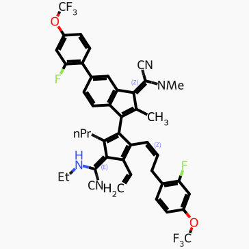 C=CC1=C(/C=C\Cc2ccc(OC(F)(F)F)cc2F)C(C2=C(C)/C(=C(/C#N)NC)c3cc(-c4ccc(OC(F)(F)F)cc4F)ccc32)=C(CCC)/C1=C(/C#N)NCC